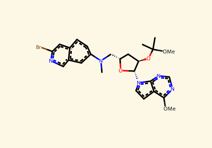 COc1ncnc2c1ccn2[C@@H]1O[C@H](CN(C)c2ccc3cc(Br)ncc3c2)C[C@H]1OC(C)(C)OC